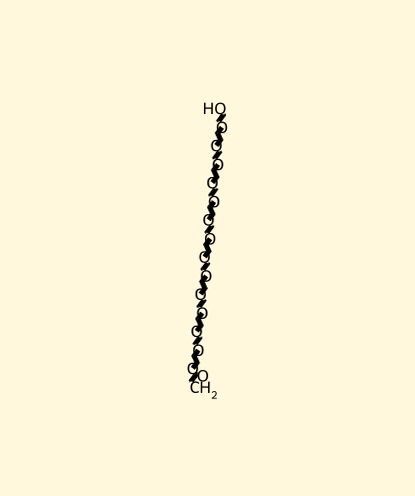 C=CC(=O)OCCOCCOCCOCCOCCOCCOCCOCCOCCOCCOCCOCCOCCOCCO